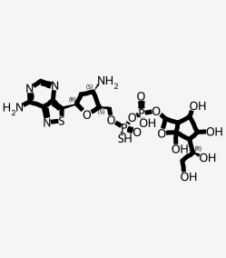 Nc1ncnc2c([C@H]3C[C@H](N)[C@@H](COP(=O)(S)OP(=O)(O)OC4OC5(O)C4C(O)C(O)C5[C@@H](O)CO)O3)snc12